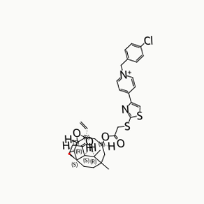 C=C[C@]12C[C@@H](OC(=O)CSc3nc(-c4cc[n+](Cc5ccc(Cl)cc5)cc4)cs3)CC3(C)CC[C@]4(CCC(=O)[C@H]4[C@H]3C)[C@@H](C)[C@@H]1O2